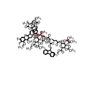 CC[C@@]1(OC(=O)N(C)CCN(C)C(=O)OCc2ccc(O[C@@H]3O[C@H](C(=O)OC)[C@@H](OC(C)=O)[C@H](OC(C)=O)[C@H]3OC(C)=O)c(NC(=O)CCNC(=O)[C@H](CCCC(=O)N[C@@H]3O[C@H](C(=O)OC)[C@@H](OC(C)=O)[C@H](OC(C)=O)[C@H]3OC(C)=O)NC(=O)OCC3c4ccccc4-c4ccccc43)c2)C(=O)OCc2c1cc1n(c2=O)Cc2c-1nc1cc(F)c(F)c(OC)c1c2C